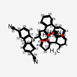 CC1C=CCC(C)C1C1=C(Nc2ccccc2-c2ccccc2-c2cc(-n3c4ccc(C#N)cc4c4ccc(C#N)cc43)ccc2C#N)C=CCC1